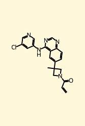 C=CC(=O)N1CC(C)(c2ccc3ncnc(Nc4cncc(Cl)c4)c3c2)C1